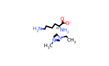 CCn1cc[n+](C)c1.NCCCC[C@H](N)C(=O)[O-]